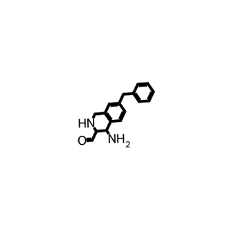 NC1c2ccc(Cc3ccccc3)cc2CNC1C=O